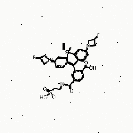 C=C[Si]1(C)C2=CC(=[N+]3CC(F)C3)C=CC2=C(c2cc(C(=O)NCCS(=O)(=O)O)ccc2C(=O)O)c2ccc(N3CC(F)C3)cc21